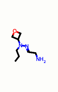 CCCN(/N=C/CN)C1COC1